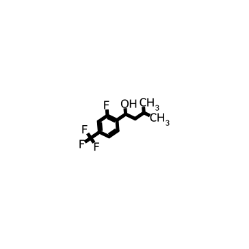 CC(C)CC(O)c1ccc(C(F)(F)F)cc1F